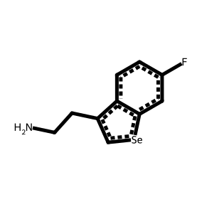 NCCc1c[se]c2cc(F)ccc12